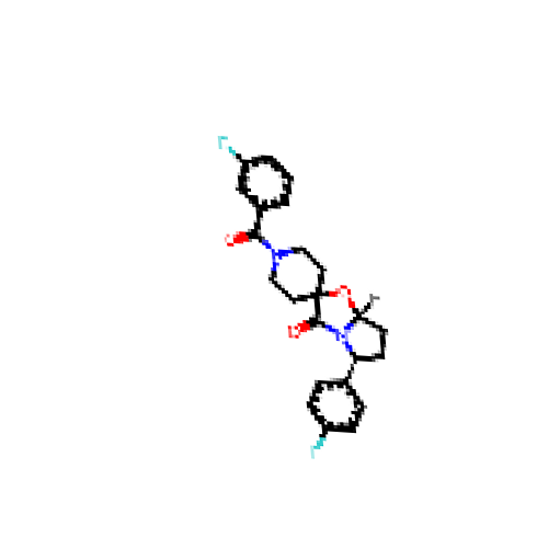 O=C(c1cccc(F)c1)N1CCC2(CC1)O[C@@H]1CC[C@@H](c3ccc(F)cc3)N1C2=O